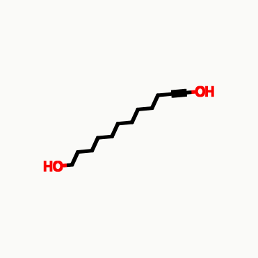 OC#CCCCCCCCCCCO